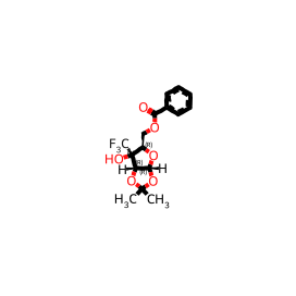 CC1(C)O[C@H]2O[C@H](COC(=O)c3ccccc3)[C@](O)(C(F)(F)F)[C@H]2O1